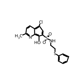 Cc1ccc2c(Cl)cc(S(=O)(=O)NCCSc3ccccc3)c(O)c2n1